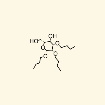 CCCCO[C@@H]1O[C@H](CO)[C@@H](O)[C@H](OCCCC)[C@H]1OCCCC